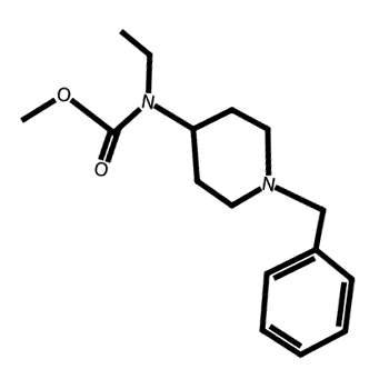 CCN(C(=O)OC)C1CCN(Cc2ccccc2)CC1